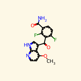 COc1ccnc2[nH]cc(C(=O)c3c(F)ccc(C(N)=O)c3F)c12